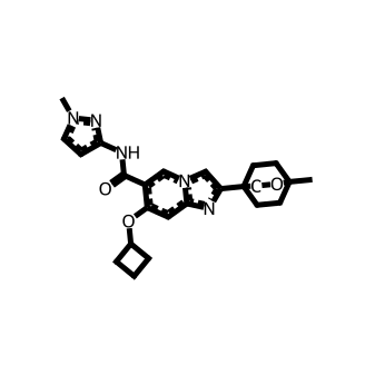 Cn1ccc(NC(=O)c2cn3cc(C45CCC(C)(CC4)OC5)nc3cc2OC2CCC2)n1